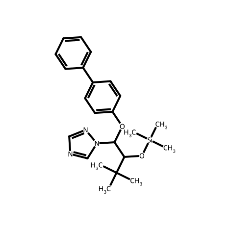 CC(C)(C)C(O[Si](C)(C)C)C(Oc1ccc(-c2ccccc2)cc1)n1cncn1